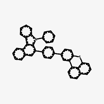 c1ccc(-n2c3ccccc3c3c4ccccc4cc(-c4ccc(-c5ccc6c(c5)-c5cccc7cccc(c57)S6)cc4)c32)cc1